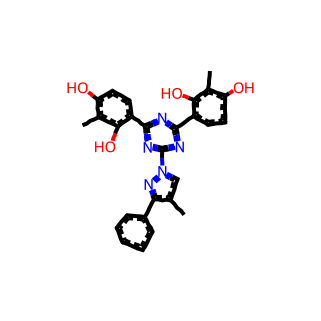 Cc1cn(-c2nc(-c3ccc(O)c(C)c3O)nc(-c3ccc(O)c(C)c3O)n2)nc1-c1ccccc1